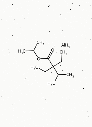 CCC(CC)(C(=O)OC(C)C)C(C)C.[AlH3]